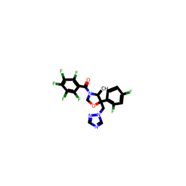 CC1N(C(=O)c2c(F)c(F)c(F)c(F)c2F)COC1(Cn1cncn1)c1ccc(F)cc1F